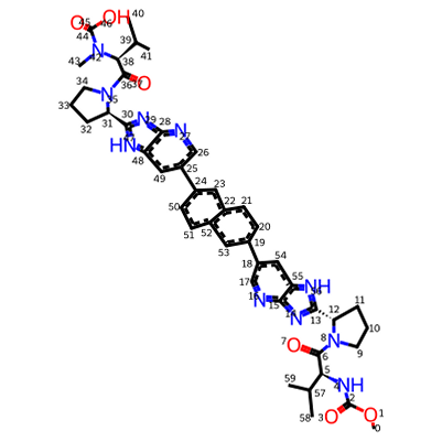 COC(=O)N[C@H](C(=O)N1CCC[C@H]1c1nc2ncc(-c3ccc4cc(-c5cnc6nc([C@H]7CCCN7C(=O)[C@H](C(C)C)N(C)C(=O)O)[nH]c6c5)ccc4c3)cc2[nH]1)C(C)C